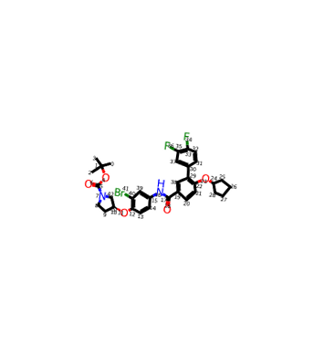 CC(C)(C)OC(=O)N1CC[C@H](Oc2ccc(NC(=O)c3ccc(OC4CCCC4)c(-c4ccc(F)c(F)c4)c3)cc2Br)C1